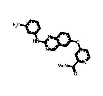 CNC(=O)c1cc(Oc2ccc3nc(Nc4cccc(C(F)(F)F)c4)ncc3c2)ccn1